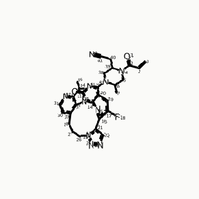 C=CC(=O)N1CC(C)N(c2nc(=O)n3c4nc(c(F)cc24)-c2cnnn2CCCc2ccnc(C(C)C)c2-3)CC1CC#N